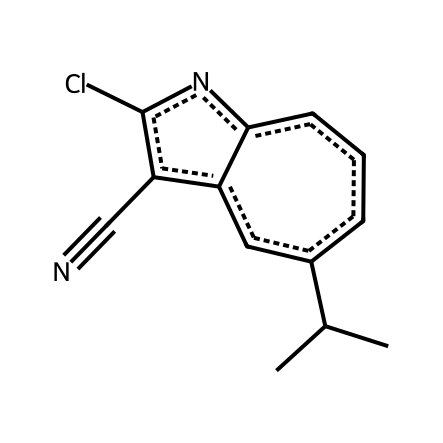 CC(C)c1cccc2nc(Cl)c(C#N)c-2c1